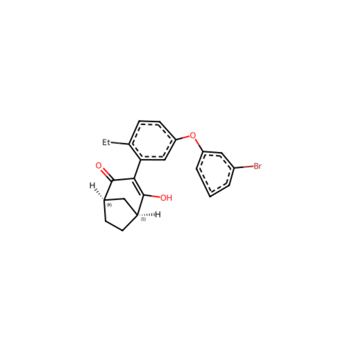 CCc1ccc(Oc2cccc(Br)c2)cc1C1=C(O)[C@H]2CC[C@H](C2)C1=O